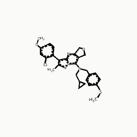 COc1ccc(-c2c(C)nn3c(N(Cc4ccc(SC)cc4)CC4CC4)c4c(nc23)COC4)c(Cl)c1